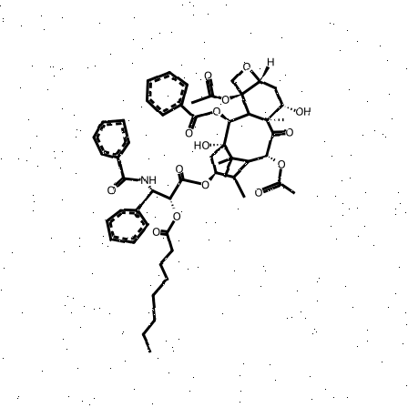 CCCCCCCC(=O)O[C@@H](C(=O)O[C@H]1C[C@@]2(O)[C@@H](OC(=O)c3ccccc3)C3[C@](C)(C(=O)[C@H](OC(C)=O)C(C1C)C2(C)C)[C@@H](O)C[C@H]1OC[C@@]31OC(C)=O)[C@@H](NC(=O)c1ccccc1)c1ccccc1